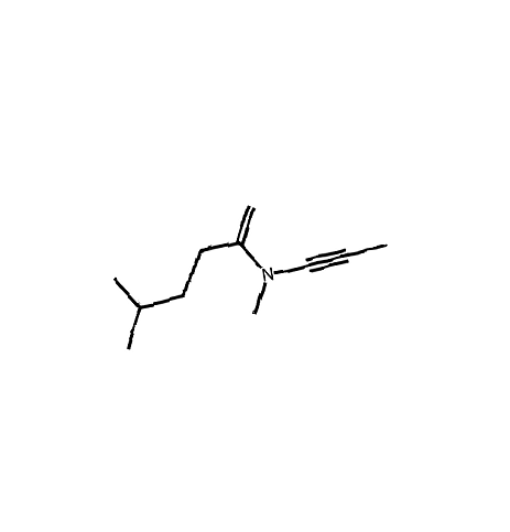 C=C(CCC(C)C)N(C)C#CC